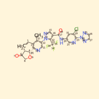 C=Cc1c([C@H]2CC(=O)CO2)ncc(-n2ncc(C(=O)Nc3cnc(-n4nccn4)c(Cl)c3)c2C(F)(F)F)c1C